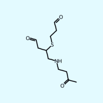 CC(=O)CCNCC(CC=O)SCCC=O